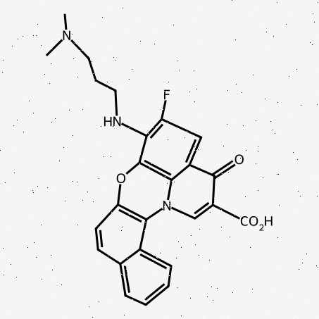 CN(C)CCCNc1c(F)cc2c(=O)c(C(=O)O)cn3c2c1Oc1ccc2ccccc2c1-3